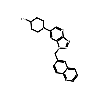 OC1CCN(c2cnc3nnn(Cc4ccc5ncccc5c4)c3n2)CC1